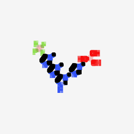 Cn1cc[nH+]c1.Cn1ccnc1.Cn1ccnc1.Cn1ccnc1.F[B-](F)(F)F.OB(O)O